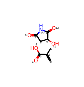 C=C(C)C(=O)O.O=C1CC(O)C(=O)N1